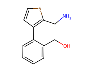 NCc1sccc1-c1ccccc1CO